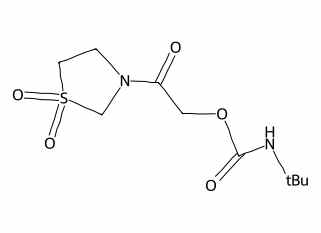 CC(C)(C)NC(=O)OCC(=O)N1CCS(=O)(=O)C1